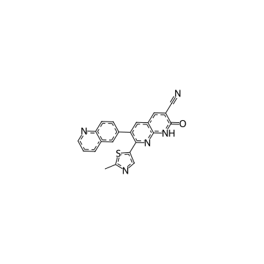 Cc1ncc(-c2nc3[nH]c(=O)c(C#N)cc3cc2-c2ccc3ncccc3c2)s1